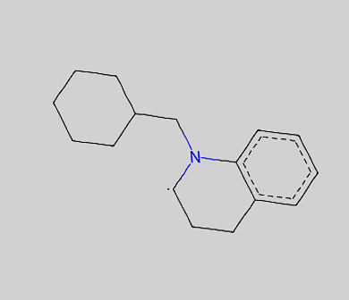 [CH]1CCc2ccccc2N1CC1CCCCC1